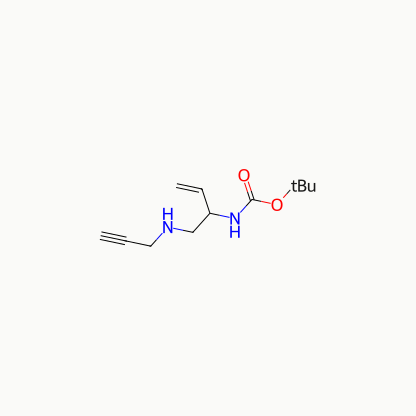 C#CCNCC(C=C)NC(=O)OC(C)(C)C